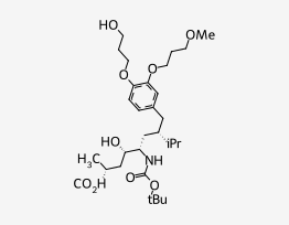 COCCCOc1cc(C[C@@H](C[C@H](NC(=O)OC(C)(C)C)[C@@H](O)C[C@@H](C)C(=O)O)C(C)C)ccc1OCCCO